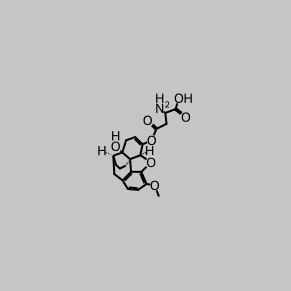 COc1ccc2c3c1O[C@@H]1C(OC(=O)C[C@H](N)C(=O)O)=CC[C@]4(O)[C@@H](CCC[C@@]314)C2